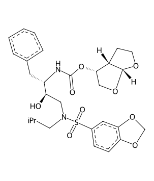 CC(C)CN(C[C@@H](O)[C@H](Cc1ccccc1)NC(=O)O[C@H]1CO[C@H]2OCC[C@H]21)S(=O)(=O)c1ccc2c(c1)OCO2